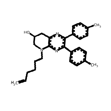 C=CCCCCN1CC(O)Cc2nc(-c3ccc(C)cc3)c(-c3ccc(C)cc3)nc21